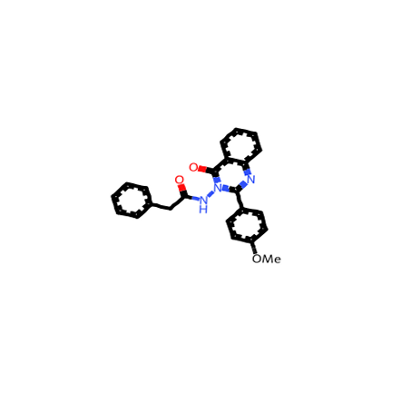 COc1ccc(-c2nc3ccccc3c(=O)n2NC(=O)Cc2ccccc2)cc1